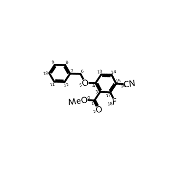 COC(=O)c1c(OCc2ccccc2)ccc(C#N)c1F